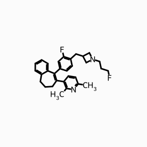 Cc1ccc(C2=C(c3ccc(CC4CN(CCCF)C4)c(F)c3)c3ccccc3CCC2)c(C)n1